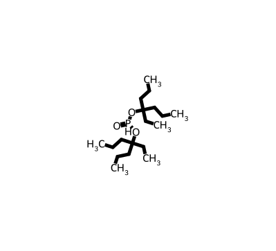 CCCC(CC)(CCC)O[PH](=O)OC(CC)(CCC)CCC